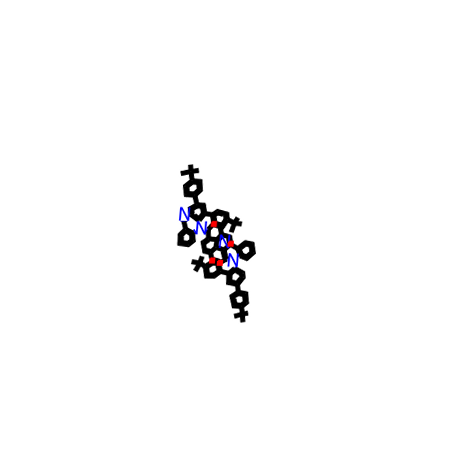 CC(C)(C)c1ccc(-c2ccc(N(C3=C4C=CC5=C6C(=CC=C(C=C3)C46)C(N(c3ccccc3C#N)c3ccc(-c4ccc(C(C)(C)C)cc4)cc3-c3ccc(C(C)(C)C)cc3)C=C5)c3ccccc3C#N)c(-c3ccc(C(C)(C)C)cc3)c2)cc1